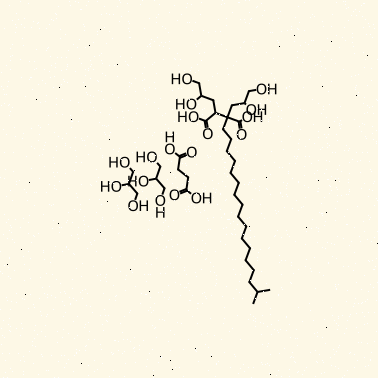 CC(C)CCCCCCCCCCCCCCCC(CC(O)CO)(C(=O)O)C(CC(O)CO)C(=O)O.O=C(O)CCC(=O)O.OCC(O)CO.OCC(O)CO